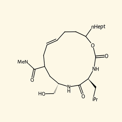 CCCCCCCC1CC/C=C/CC(C(=O)NC)C[C@@H](CO)NC(=O)[C@H](CC(C)C)NC(=O)O1